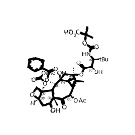 COC(=O)O[C@@]12CO[C@@H]1CC(O)[C@@]1(C)C(=O)[C@H](OC(C)=O)C3=C(C)[C@](C)(OC(=O)[C@H](O)[C@@H](NC(=O)OC(C)(C)C(=O)O)C(C)(C)C)C[C@@](O)([C@@H](OC(=O)c4ccccc4)C12)C3(C)C